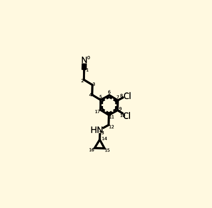 N#CCCCc1cc(Cl)c(Cl)c(CNC2CC2)c1